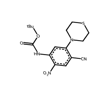 CC(C)(C)OC(=O)Nc1cc(N2CCSCC2)c(C#N)cc1[N+](=O)[O-]